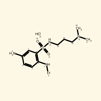 CCNc1ccc(N)cc1S(=O)(=O)NCCCN(C)C.Cl